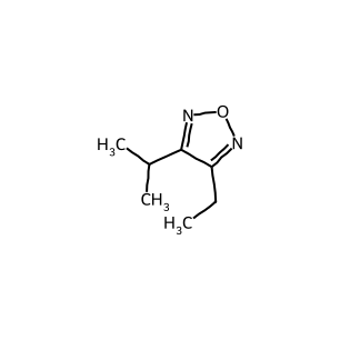 CCc1nonc1C(C)C